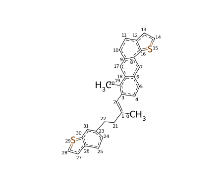 C/C(=C\c1ccc2cc3c(ccc4ccsc43)cc2c1C)CCc1ccc2ccsc2c1